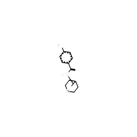 CCc1ccc(C(=O)NC2CN3CCC2CC3)cc1